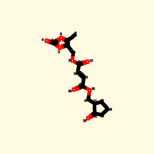 Cc1oc(=O)oc1COC(=O)/C=C/C(=O)OCC1CCCC1=O